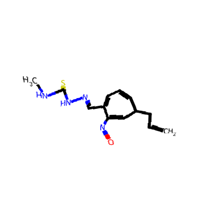 C=CCC1C=CC=C(/C=N/NC(=S)NC)C(N=O)=C1